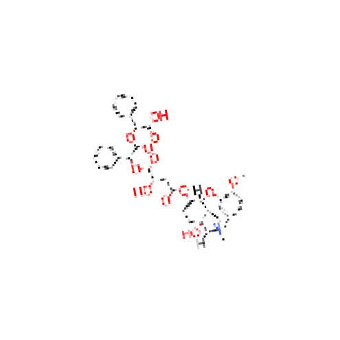 COc1ccc2c3c1O[C@H]1C(OC(=O)C[C@H](O)C(=O)O[C@H](C(=O)O[C@H](C(=O)O)c4ccccc4)c4ccccc4)=CC[C@@]4(O)[C@@H](C2)N(C)CC[C@]314